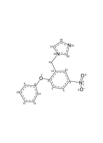 O=[N+]([O-])c1ccc(Oc2ccccc2)c(Cn2ccnc2)c1